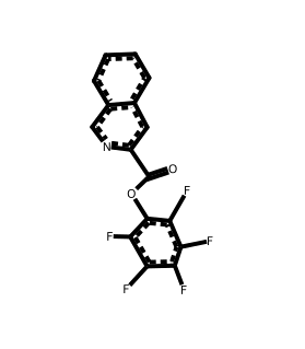 O=C(Oc1c(F)c(F)c(F)c(F)c1F)c1cc2ccccc2cn1